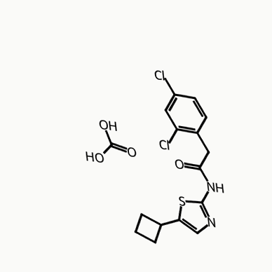 O=C(Cc1ccc(Cl)cc1Cl)Nc1ncc(C2CCC2)s1.O=C(O)O